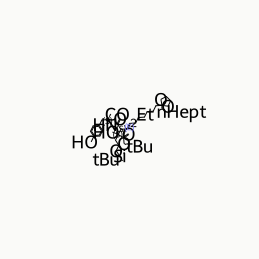 CCCCCCCC1(CCCCCC/C=C/[C@H](C(=O)N[C@@H](Cc2ccc(O)cc2)C(=O)OCC)[C@@](O)(CCO[Si](C)(C)C(C)(C)C)C(=O)OC(C)(C)C)OCCO1